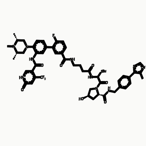 Cc1ncsc1-c1ccc(CNC(=O)[C@@H]2C[C@@H](O)CN2C(=O)C(NC(=O)CCCNC(=O)c2ccc(F)c(-c3ccc(N4C[C@@H](C)N(C)[C@@H](C)C4)c(NC(=O)c4c[nH]c(=O)cc4C(F)(F)F)c3)c2)C(C)(C)C)cc1